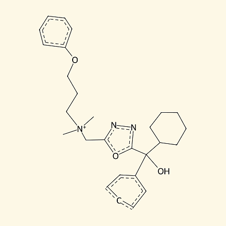 C[N+](C)(CCCOc1ccccc1)Cc1nnc(C(O)(c2ccccc2)C2CCCCC2)o1